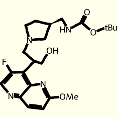 COc1ccc2ncc(F)c(C(CO)CN3CC[C@@H](CNC(=O)OC(C)(C)C)C3)c2n1